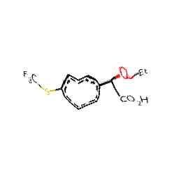 CCOC(C(=O)O)c1ccc(SC(F)(F)F)cc1